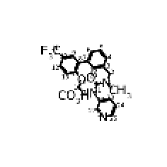 CN(Cc1cccc(-c2cc(C(F)(F)F)ccc2OCC(=O)O)c1)C(=O)Nc1cccnc1